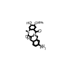 COc1cc2c(cc1O)N(C)C(=O)[C@@H]1Cc3ccc(N)cc3CN1C2=O